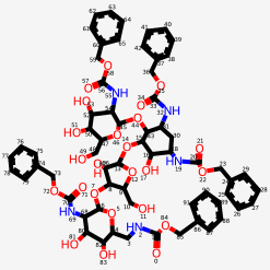 O=C(NCC1OC(OC2C(CO)OC(OC3C(O)C(NC(=O)OCc4ccccc4)CC(NC(=O)OCc4ccccc4)C3OC3OC(CO)C(O)C(O)C3NC(=O)OCc3ccccc3)C2O)C(NC(=O)OCc2ccccc2)C(O)C1O)OCc1ccccc1